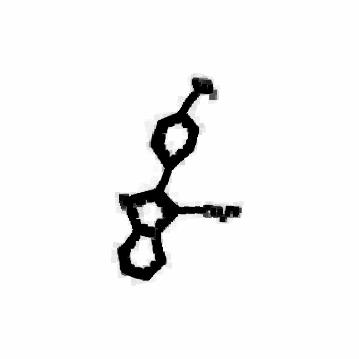 CCOC(=O)c1c(-c2ccc([N+](=O)[O-])cc2)nc2ccccn12